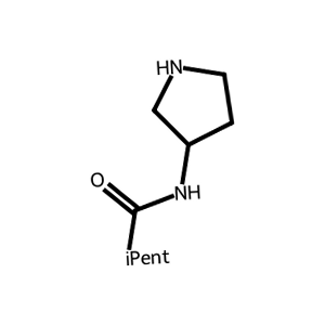 CCCC(C)C(=O)NC1CCNC1